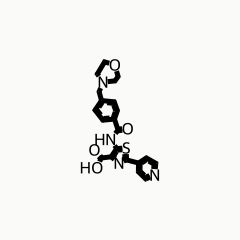 O=C(Nc1sc(-c2ccncc2)nc1C(=O)O)c1ccc(CN2CCOCC2)cc1